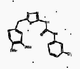 COc1ccc(Cc2nnc(NC(=O)Nc3cccc(C(F)(F)F)c3)s2)cc1OC